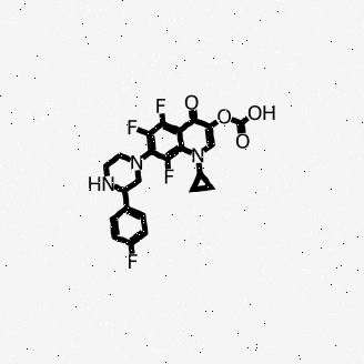 O=C(O)Oc1cn(C2CC2)c2c(F)c(N3CCNC(c4ccc(F)cc4)C3)c(F)c(F)c2c1=O